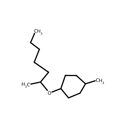 CCCCCC(C)OC1CCC(C)CC1